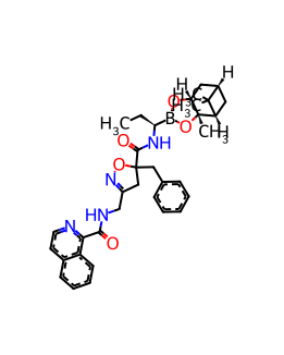 CC[C@H](NC(=O)C1(Cc2ccccc2)CC(CNC(=O)c2nccc3ccccc23)=NO1)B1O[C@@H]2C[C@@H]3C[C@@H](C3(C)C)[C@]2(C)O1